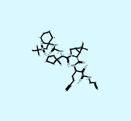 C#CCCC(NC(=O)[C@@H]1C2C(CN1C(=O)[C@@H](NC(=O)NC1(CS(=O)(=O)C(C)(C)C)CCCCC1)C1(C)CCCC1)C2(C)C)C(=O)C(=O)NCC=C